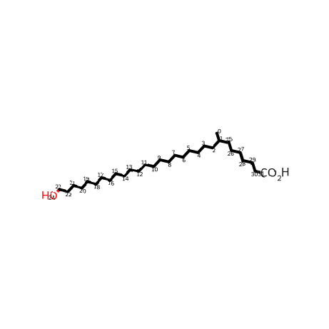 CC(CCCCCCCCCCCCCCCCCCCCCCO)CCCCCCC(=O)O